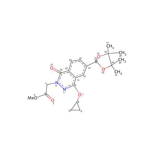 COC(=O)Cn1nc(OC2CC2)c2cc(B3OC(C)(C)C(C)(C)O3)ccc2c1=O